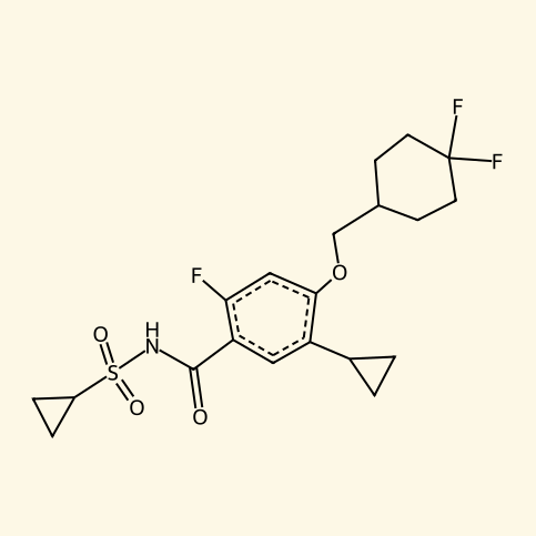 O=C(NS(=O)(=O)C1CC1)c1cc(C2CC2)c(OCC2CCC(F)(F)CC2)cc1F